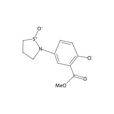 COC(=O)c1cc(N2CCC[S+]2[O-])ccc1Cl